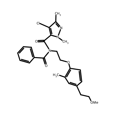 COCCc1ccc(OCCN(C(=O)c2ccccc2)C(=O)c2c(Cl)c(C)nn2C)c(C)c1